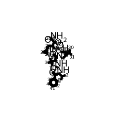 CC(C)[C@H](NC(=O)N[C@H](C(=O)N1CC2[C@@H]([C@H]1C(=O)NC(CC1CC1)C(=O)C(N)=O)C2(C)C)C(C)(C)C)C(=O)c1ccccc1